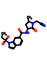 CCS(=O)(=O)n1ccc2ccc(C(=O)NC3CC(C)N(CC#N)C3=O)cc21